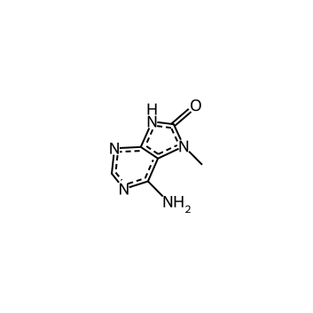 Cn1c(=O)[nH]c2ncnc(N)c21